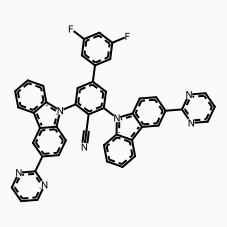 N#Cc1c(-n2c3ccccc3c3cc(-c4ncccn4)ccc32)cc(-c2cc(F)cc(F)c2)cc1-n1c2ccccc2c2cc(-c3ncccn3)ccc21